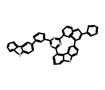 c1ccc(-c2cccc(-c3ccc4sc5cccc(-c6nc(-c7ccccc7)nc(-c7cccc(-c8ccc9sc%10ccccc%10c9c8)c7)n6)c5c4c3)c2)cc1